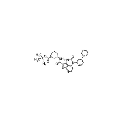 CC(C)(C)OC(=O)N1CCC[C@@H](NC(=O)c2sc3nccc4c3c2NC(=O)N4c2cccc(-c3ccccc3)c2)C1